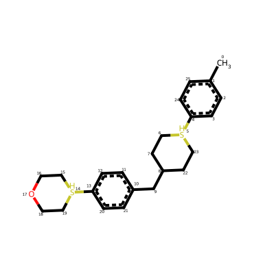 Cc1ccc([SH]2CCC(Cc3ccc([SH]4CCOCC4)cc3)CC2)cc1